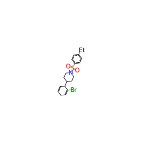 CCc1ccc(S(=O)(=O)N2CCC(C3C=CCC=C3Br)CC2)cc1